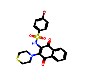 O=C1C(NS(=O)(=O)c2ccc(Br)cc2)=C(N2CCSCC2)C(=O)c2ccccc21